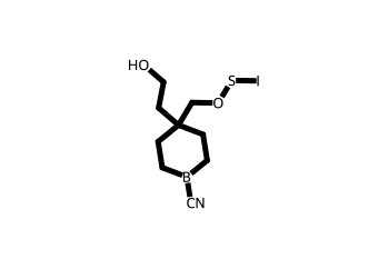 N#CB1CCC(CCO)(COSI)CC1